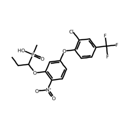 CCC(Oc1cc(Oc2ccc(C(F)(F)F)cc2Cl)ccc1[N+](=O)[O-])P(C)(=O)O